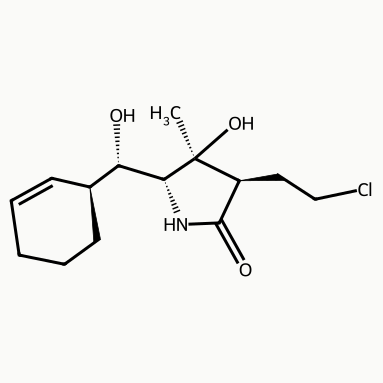 C[C@@]1(O)[C@@H]([C@@H](O)[C@@H]2C=CCCC2)NC(=O)[C@@H]1CCCl